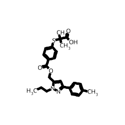 CCCn1nc(-c2ccc(C)cc2)cc1COC(=O)c1ccc(SC(C)(C)C(=O)O)cc1